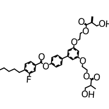 C=C(CO)C(=O)OCCOc1cc(OCCOC(=O)C(C)CO)cc(-c2ccc(OC(=O)c3ccc(CCCCC)c(F)c3)cc2)c1